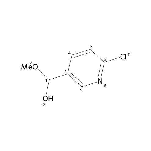 COC(O)c1ccc(Cl)nc1